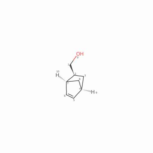 OC[C@H]1C[C@H]2C=C[C@@H]1C2